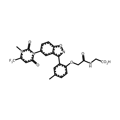 Cc1ccc(OCC(=O)NCC(=O)O)c(-c2noc3ccc(-n4c(=O)cc(C(F)(F)F)n(C)c4=O)cc23)c1